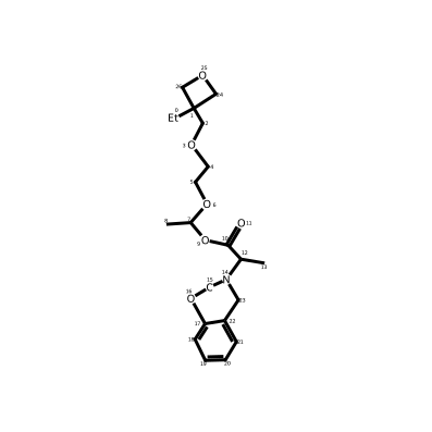 CCC1(COCCOC(C)OC(=O)C(C)N2COc3ccccc3C2)COC1